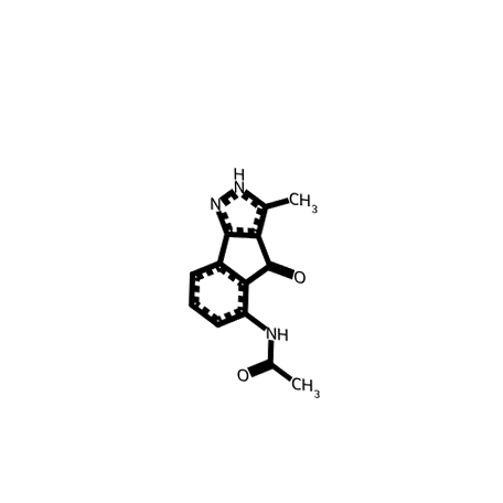 CC(=O)Nc1cccc2c1C(=O)c1c-2n[nH]c1C